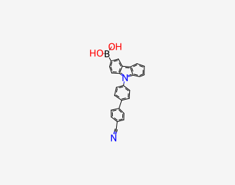 N#Cc1ccc(-c2ccc(-n3c4ccccc4c4cc(B(O)O)ccc43)cc2)cc1